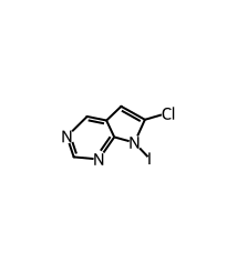 Clc1cc2cncnc2n1I